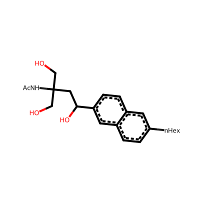 CCCCCCc1ccc2cc(C(O)CC(CO)(CO)NC(C)=O)ccc2c1